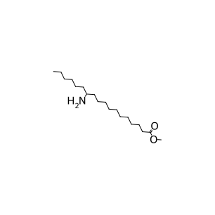 CCCCCCC(N)CCCCCCCCCCC(=O)OC